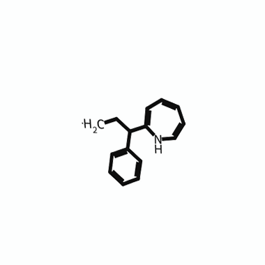 [CH2]CC(C1=CC=CC=CN1)c1ccccc1